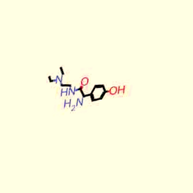 CCN(CC)CCNC(=O)C(N)c1ccc(O)cc1